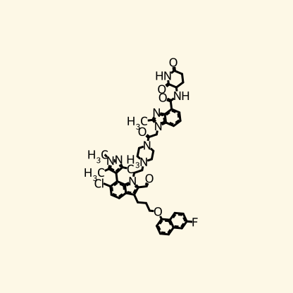 Cc1nn(C)c(C)c1-c1c(Cl)ccc2c(CCCOc3cccc4cc(F)ccc34)c(C=O)n(CCN3CCN(C(=O)Cn4c(C)nc5c(C(=O)NC6CCC(=O)NC6=O)cccc54)CC3)c12